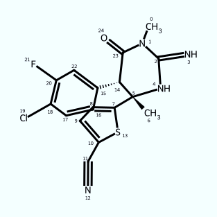 CN1C(=N)N[C@](C)(c2ccc(C#N)s2)[C@H](c2ccc(Cl)c(F)c2)C1=O